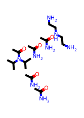 CC(=O)N(C(C)C)C(C)C.CC(N)=O.CC(N)=O.CC(N)=O.CC(N)=O.NCCNCCN